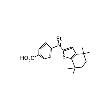 CCN(c1ccc(C(=O)O)cc1)c1cc2c(s1)C(C)(C)CCC2(C)C